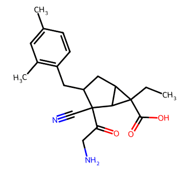 CCC1(C(=O)O)C2CC(Cc3ccc(C)cc3C)C(C#N)(C(=O)CN)C21